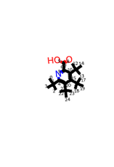 CC(C)(C)c1nc(C(=O)O)c(C(C)(C)C)c(C(C)(C)C)c1C(C)(C)C